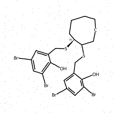 Oc1c(Br)cc(Br)cc1CSC1CCCCCC[C@@H]1SCc1cc(Br)cc(Br)c1O